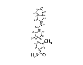 Cc1cc(C(N)=O)ccc1-c1ccc(CNC2Cc3ccccc3C2)cc1F